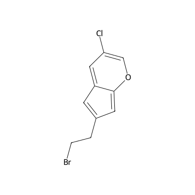 Clc1coc2cc(CCBr)cc-2c1